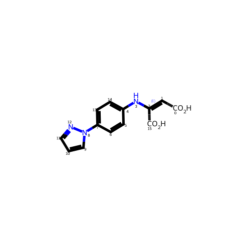 O=C(O)/C=C(/Nc1ccc(-n2cccn2)cc1)C(=O)O